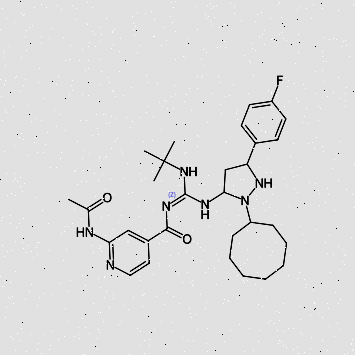 CC(=O)Nc1cc(C(=O)/N=C(\NC2CC(c3ccc(F)cc3)NN2C2CCCCCCC2)NC(C)(C)C)ccn1